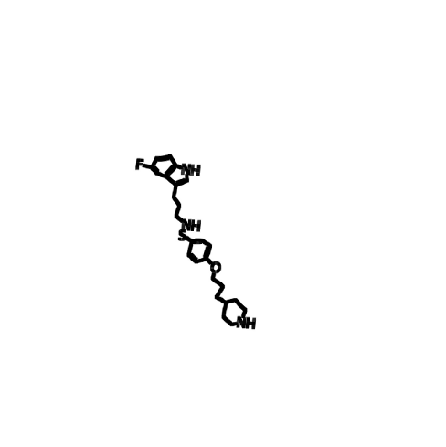 Fc1ccc2[nH]cc(CCCNSc3ccc(OCCCC4CCNCC4)cc3)c2c1